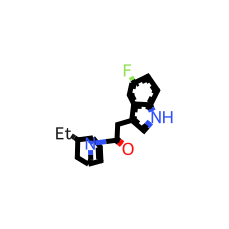 CCC1CC2C=CC1N(C(=O)Cc1c[nH]c3ccc(F)cc13)C2